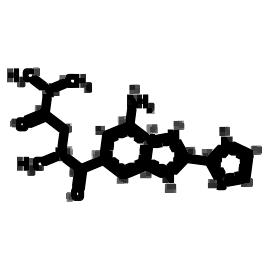 CN(C)C(=O)CN(C)C(=O)c1cc(N)n2nc(-c3nccs3)nc2c1